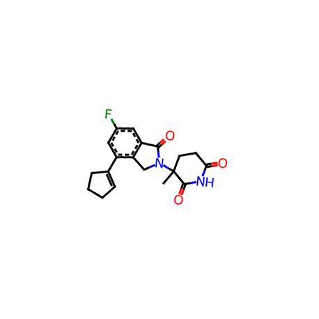 CC1(N2Cc3c(cc(F)cc3C3=CCCC3)C2=O)CCC(=O)NC1=O